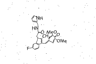 COC1=CC(=CC2=C(C)C(CC(=O)NCc3ccc[nH]3)c3cc(F)ccc32)C=C(OC)C1=O